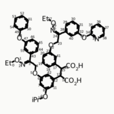 CCON=C(COc1cc(OC(C)C)cc(C(C(=O)O)C(C(=O)O)c2cccc(OCC(=NOCC)c3cccc(Oc4ccccn4)c3)c2)c1)c1cccc(Oc2ccccc2)c1